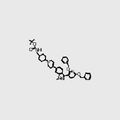 Cn1nc(-c2ccc(OCc3ccccc3)nc2OCc2ccccc2)c2ccc(C3=CCN(C4CCC(CNC(=O)OC(C)(C)C)CC4)CC3)cc21